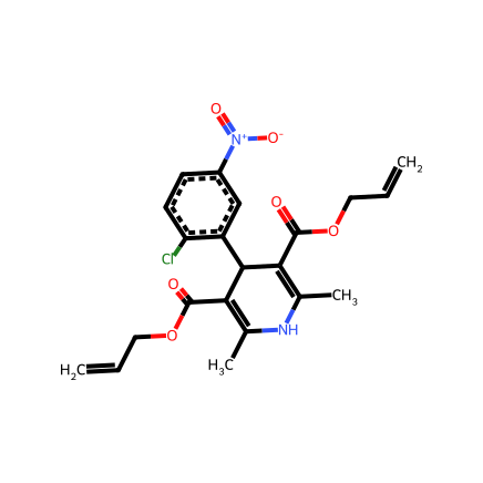 C=CCOC(=O)C1=C(C)NC(C)=C(C(=O)OCC=C)C1c1cc([N+](=O)[O-])ccc1Cl